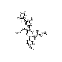 CC(C)(C)OC(=O)N[C@@H](Cc1ccc(C(F)(F)F)cc1)CN(C(=O)OC(C)(C)C)c1nc(-c2cccc(F)c2F)c(Br)s1